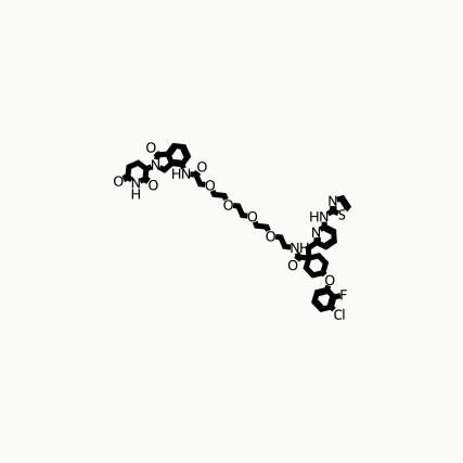 O=C1CCC(N2Cc3c(NC(=O)COCCOCCOCCOCCNC(=O)C4(Cc5cccc(Nc6nccs6)n5)CCC(Oc5cccc(Cl)c5F)CC4)cccc3C2=O)C(=O)N1